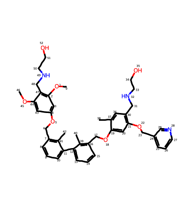 COc1cc(OCc2cccc(-c3cccc(COc4cc(OCc5cccnc5)c(CNCCO)cc4C)c3C)c2C)cc(OC)c1CNCCO